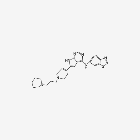 C1=C(c2cc3c(Nc4ccc5ncsc5c4)ncnc3[nH]2)CCN(CCCN2CCCCC2)C1